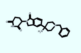 NC1(c2ccc3c(c2)CN(C2CCC(=O)NC2=O)C3=O)CCN(Cc2ccccc2)CC1